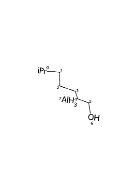 CC(C)CCCCCO.[AlH3]